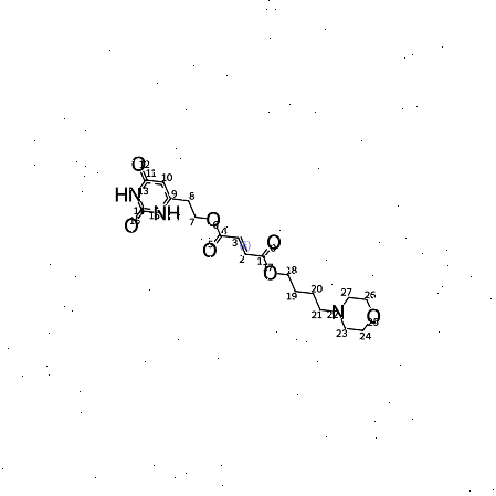 O=C(/C=C/C(=O)OCCc1cc(=O)[nH]c(=O)[nH]1)OCCCCN1CCOCC1